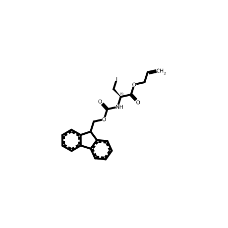 C=CCOC(=O)[C@H](CI)NC(=O)OCC1c2ccccc2-c2ccccc21